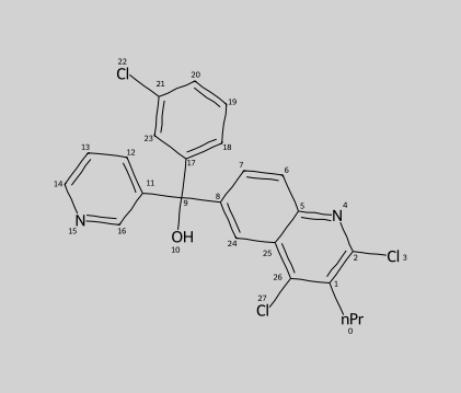 CCCc1c(Cl)nc2ccc(C(O)(c3cccnc3)c3cccc(Cl)c3)cc2c1Cl